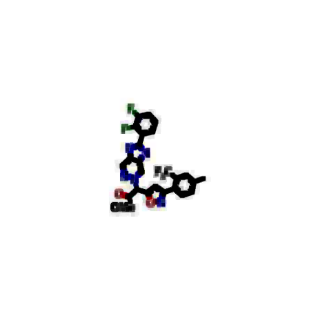 COC(=O)C(c1cc(-c2ccc(C)cc2C(F)(F)F)no1)n1cc2nc(-c3cccc(F)c3F)nc-2cn1